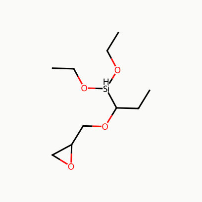 CCO[SiH](OCC)C(CC)OCC1CO1